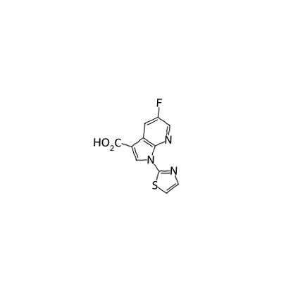 O=C(O)c1cn(-c2nccs2)c2ncc(F)cc12